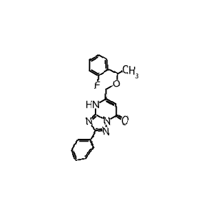 CC(OCc1cc(=O)n2nc(-c3ccccc3)nc2[nH]1)c1ccccc1F